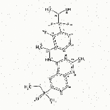 CCP(C)(=O)c1cc2c(NC(C)c3cccc(C(F)(F)C(C)O)c3F)nc(C)nc2cn1